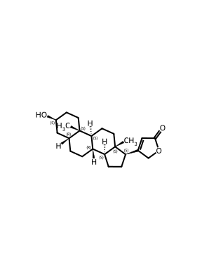 C[C@]12CC[C@H](O)C[C@H]1CC[C@@H]1[C@@H]2CC[C@]2(C)[C@@H](C3=CC(=O)OC3)CC[C@@H]12